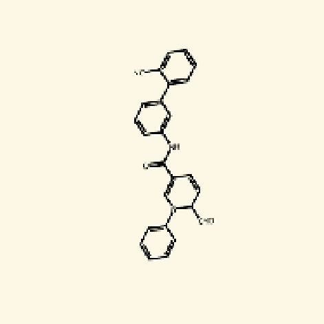 N#Cc1ccccc1-c1cccc(NC(=O)C2=CN(c3ccccc3)C(C=O)C=C2)c1